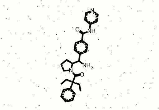 CCC(CC)(C(=O)N1CCCC1C(N)c1ccc(C(=O)Nc2ccncc2)cc1)c1ccccc1